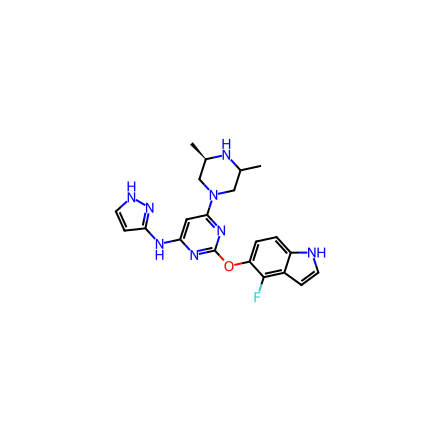 CC1CN(c2cc(Nc3cc[nH]n3)nc(Oc3ccc4[nH]ccc4c3F)n2)C[C@@H](C)N1